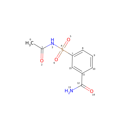 CC(=O)NS(=O)(=O)c1cccc(C(N)=O)c1